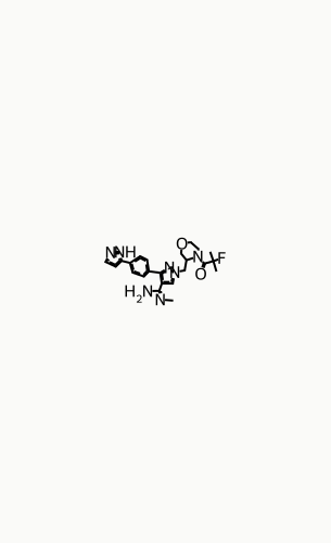 C/N=C(/N)c1cn(CC2COCCN2C(=O)C(C)(C)F)nc1-c1ccc(-c2ccn[nH]2)cc1